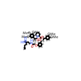 C#CCCC1(CCNC(=O)COc2cccc([C@@H](CCc3ccc(OC)c(OC)c3)OC(=O)[C@@H]3CCCCN3C(=O)[C@@H](CC)c3cc(OC)c(OC)c(OC)c3)c2)NN1